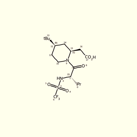 CC(C)[C@H](NS(=O)(=O)C(F)(F)F)C(=O)N1CC[C@@H](C(C)(C)C)C[C@H]1CC(=O)O